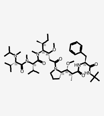 CC[C@H](C)[C@@H]([C@@H](CC(=O)N1CCC[C@H]1[C@H](OC)[C@@H](C)C(=O)N[C@@H](Cc1ccccc1)C(=O)NC(C)(C)C)OC)N(C)C(=O)[C@H](C(C)C)N(C)C(=O)[C@H](C(C)C)N(C)C(C)C